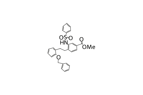 COC(=O)c1ccc(CCc2ccccc2OCc2ccccc2)c(NS(=O)(=O)c2ccccc2)c1